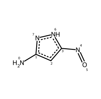 Nc1cc(N=O)[nH]n1